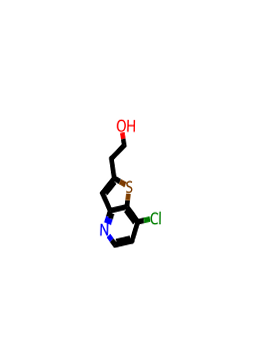 OCCc1cc2nccc(Cl)c2s1